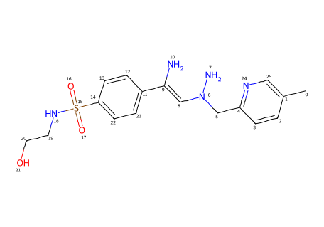 Cc1ccc(CN(N)/C=C(\N)c2ccc(S(=O)(=O)NCCO)cc2)nc1